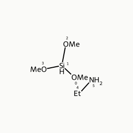 CO[SiH](OC)OC.[CH2]CN